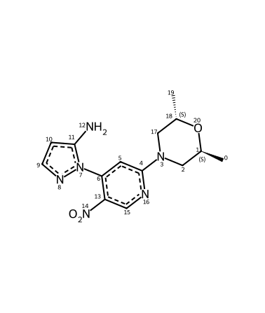 C[C@H]1CN(c2cc(-n3nccc3N)c([N+](=O)[O-])cn2)C[C@H](C)O1